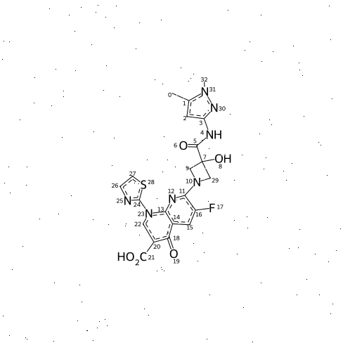 Cc1cc(NC(=O)C2(O)CN(c3nc4c(cc3F)c(=O)c(C(=O)O)cn4-c3nccs3)C2)nn1C